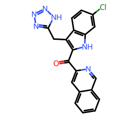 O=C(c1cc2ccccc2cn1)c1[nH]c2cc(Cl)ccc2c1Cc1nnn[nH]1